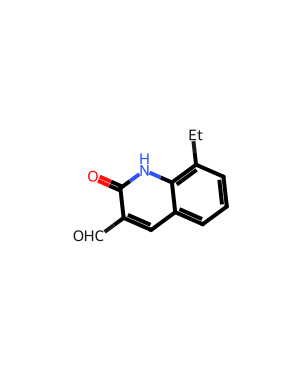 CCc1cccc2cc(C=O)c(=O)[nH]c12